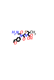 CC1=C(C(=O)O)N2C(=O)C(N(C(=O)CN)c3ccc4occc4c3)C2SC1